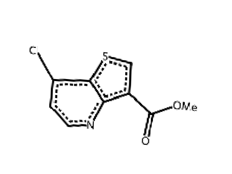 COC(=O)c1csc2c(Cl)ccnc12